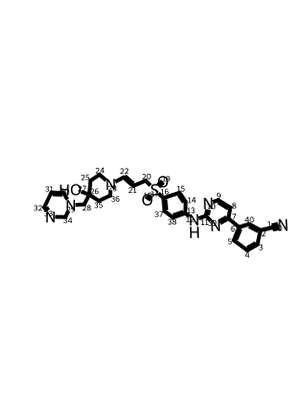 N#Cc1cccc(-c2ccnc(Nc3ccc(S(=O)(=O)CC=CN4CCC(O)(CN5C=CC=NC5)CC4)cc3)n2)c1